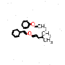 C=COC1CCCCC1.CC(C)CC=COC=CC1CCCCC1